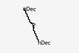 CCCCCCCCCCCCCCCCCCCC#C[P]C#CCCCCCCCCCCCCCCCCCCC